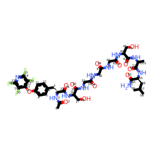 CC(=O)N[C@H](Cc1ccc(Oc2c(F)c(F)nc(F)c2F)cc1)C(=O)NC(CO)C(=O)NCC(=O)NCC(=O)NCC(=O)NC(CO)C(=O)NC(C)C(=O)N[C@@H](CC(C)C)C(N)=O